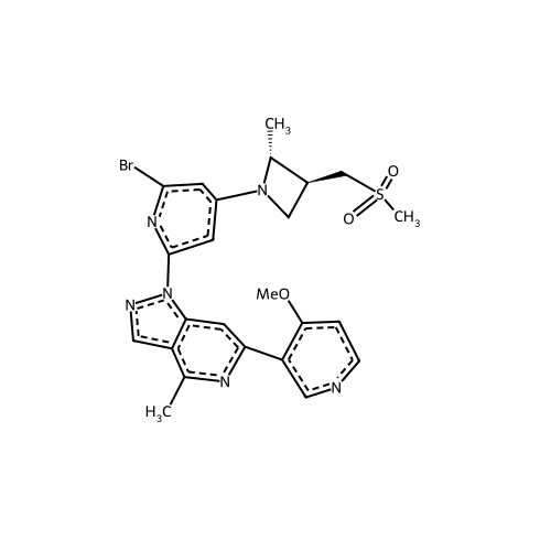 COc1ccncc1-c1cc2c(cnn2-c2cc(N3C[C@H](CS(C)(=O)=O)[C@H]3C)cc(Br)n2)c(C)n1